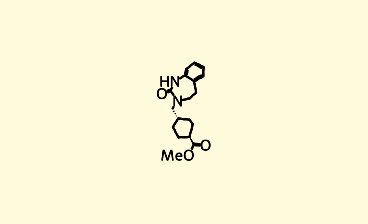 COC(=O)[C@H]1CC[C@H](CN2CCc3ccccc3NC2=O)CC1